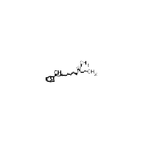 C=C(CCCCCCCP(CCC)OCC)C1CC2C=CC1C2